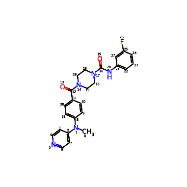 CN(c1ccncc1)c1ccc(C(=O)N2CCN(C(=O)Nc3cccc(F)c3)CC2)cc1